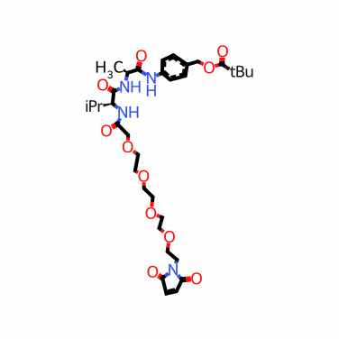 CC(C)[C@H](NC(=O)COCCOCCOCCOCCN1C(=O)C=CC1=O)C(=O)N[C@@H](C)C(=O)Nc1ccc(COC(=O)C(C)(C)C)cc1